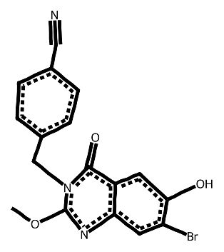 COc1nc2cc(Br)c(O)cc2c(=O)n1Cc1ccc(C#N)cc1